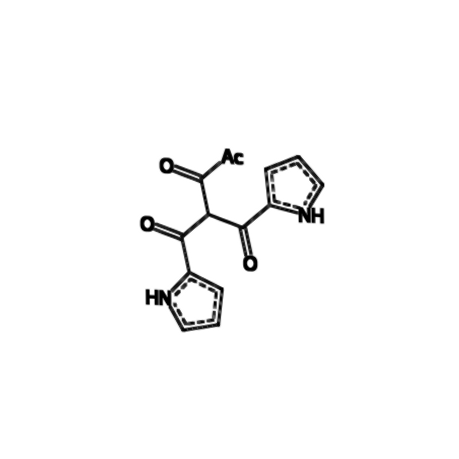 CC(=O)C(=O)C(C(=O)c1ccc[nH]1)C(=O)c1ccc[nH]1